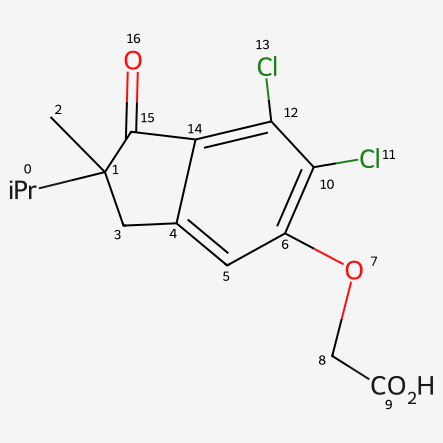 CC(C)C1(C)Cc2cc(OCC(=O)O)c(Cl)c(Cl)c2C1=O